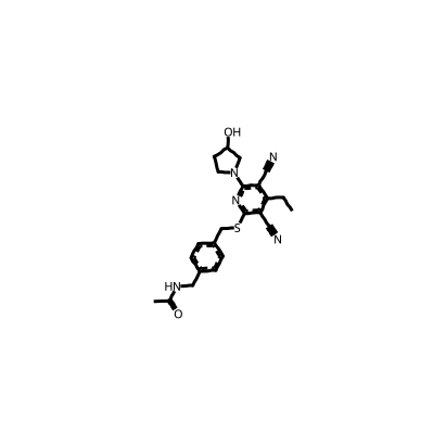 CCc1c(C#N)c(SCc2ccc(CNC(C)=O)cc2)nc(N2CCC(O)C2)c1C#N